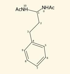 CC(=O)NC(CCc1ccccc1)NC(C)=O